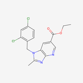 CCOC(=O)c1cnc2nc(C)n(Cc3ccc(Cl)cc3Cl)c2c1